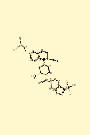 C[C@@H]1CN(c2c(C#N)cnc3cc(OCC(F)F)ccc23)CC[C@@H]1C(=O)N1CCn2c(nnc2C(F)(F)F)C1